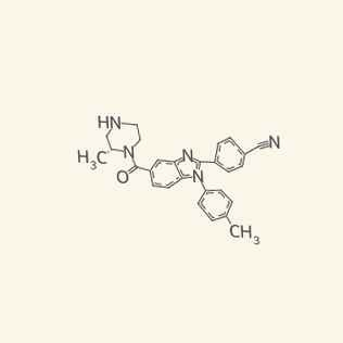 Cc1ccc(-n2c(-c3ccc(C#N)cc3)nc3cc(C(=O)N4CCNC[C@H]4C)ccc32)cc1